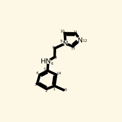 Cc1cccc(NCCn2ccnc2)c1